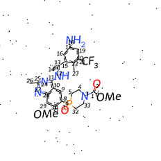 COC(=O)N1CCP(=O)(c2cc3c(N[C@H](C)c4cc(N)cc(C(F)(F)F)c4C)nc(C)nc3cc2OC)CC1